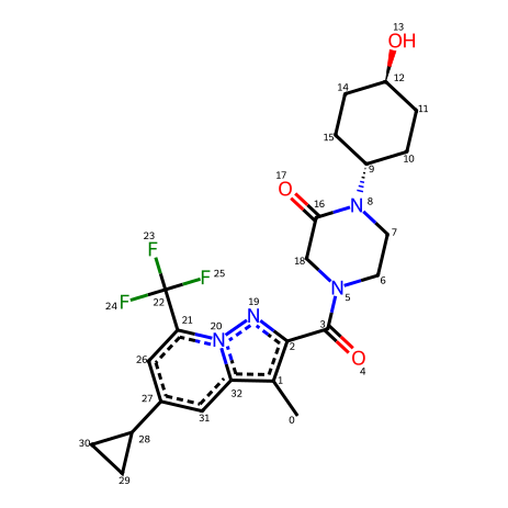 Cc1c(C(=O)N2CCN([C@H]3CC[C@H](O)CC3)C(=O)C2)nn2c(C(F)(F)F)cc(C3CC3)cc12